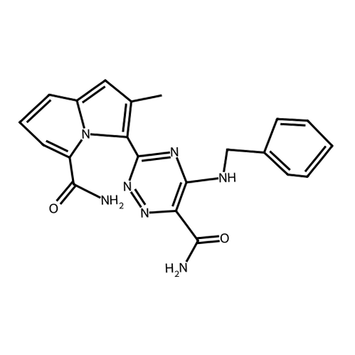 Cc1cc2cccc(C(N)=O)n2c1-c1nnc(C(N)=O)c(NCc2ccccc2)n1